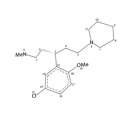 CNCC[C@H](CCN1CCCCC1)c1cc(Cl)ccc1OC